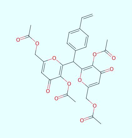 C=Cc1ccc(C(c2oc(COC(C)=O)cc(=O)c2OC(C)=O)c2oc(COC(C)=O)cc(=O)c2OC(C)=O)cc1